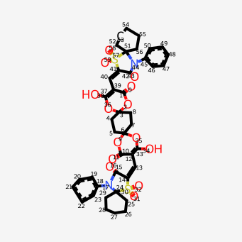 O=C1OC2(CCC3(CC2)OC(=O)C(/C=C2\C(=O)N(c4ccccc4)C4(CCCCC4)S2(=O)=O)=C(O)O3)OC(O)=C1/C=C1\C(=O)N(c2ccccc2)C2(CCCCC2)S1(=O)=O